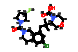 CC(C)(Cc1cc(Cl)cc2c1CN(C(=O)N1CC[C@H](F)C1)CC2)[C@@H]1COCCN1C(=O)O